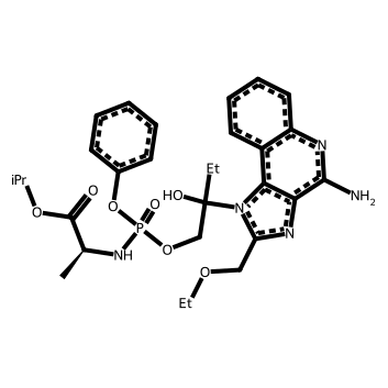 CCOCc1nc2c(N)nc3ccccc3c2n1C(O)(CC)COP(=O)(N[C@@H](C)C(=O)OC(C)C)Oc1ccccc1